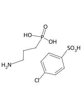 NCCCP(=O)(O)O.O=S(=O)(O)c1ccc(Cl)cc1